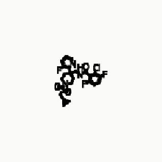 O=C(NCC1(c2ncccc2F)CCN(S(=O)(=O)CC2CC2)CC1)c1c(F)ccc(F)c1Cl